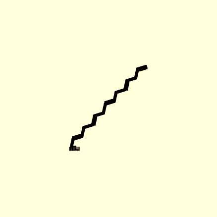 C=CCC=CCC=CCC=CCC=CCCCC